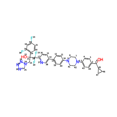 OC(c1ccc(N2CCN(c3ccc(-c4ccc(C(F)(F)C(O)(Cn5cnnn5)c5ccc(F)cc5F)nc4)cc3)CC2)cc1)C1CC1